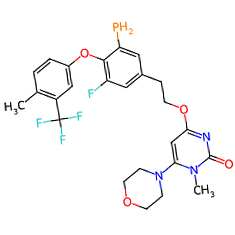 Cc1ccc(Oc2c(F)cc(CCOc3cc(N4CCOCC4)n(C)c(=O)n3)cc2P)cc1C(F)(F)F